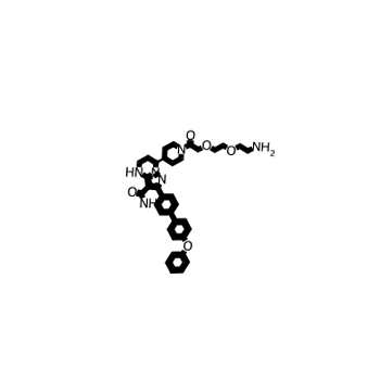 NCCOCCOCC(=O)N1CCC([C@@H]2CCNc3c(C(N)=O)c(-c4ccc(-c5ccc(Oc6ccccc6)cc5)cc4)nn32)CC1